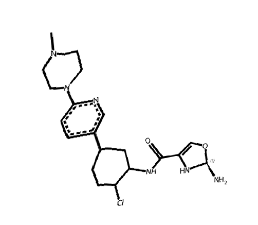 CN1CCN(c2ccc(C3CCC(Cl)C(NC(=O)C4=CO[C@@H](N)N4)C3)cn2)CC1